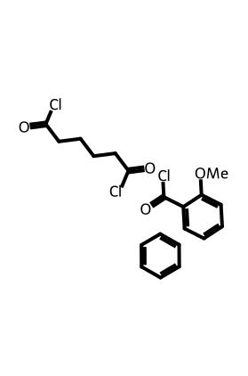 COc1ccccc1C(=O)Cl.O=C(Cl)CCCCC(=O)Cl.c1ccccc1